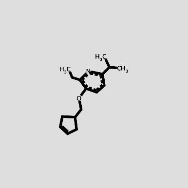 CCc1nc(C(C)C)ccc1OCC1CC=CC1